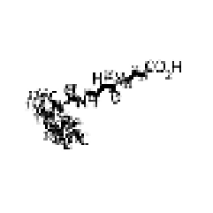 [13CH3][15N]1[13CH2][13CH2]N([13CH2][13CH]2[13CH2][13CH2][13CH2]N2[13CH2]C(=O)[15NH]CCCC(=O)[15NH]CCCC(=O)O)[13CH2][13CH2]1